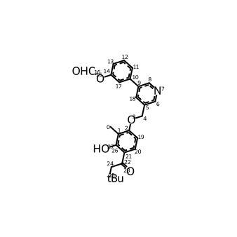 Cc1c(OCc2cncc(-c3cccc(OC=O)c3)c2)ccc(C(=O)CC(C)(C)C)c1O